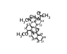 COc1ccc(CN(C)C)c(CC2CCN(C(C)=O)CC2)c1-n1ccc2ccccc2c1=O